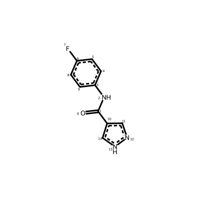 O=C(Nc1ccc(F)cc1)c1cn[nH]c1